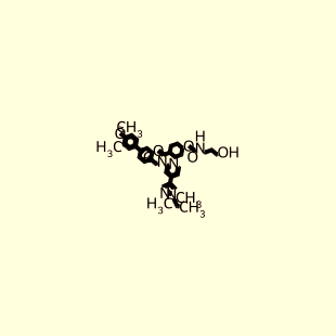 CCC(C)(C)n1cc(-c2ccnc(N(CC34CCC(c5ccc(OC)c(C)c5)(CC3)CC4)C(=O)C3CCC(OC(=O)NCCCO)CC3)c2)cn1